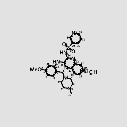 COc1ccc(CN2CCN(C)CC2)c(Nc2nc3ccccc3nc2NS(=O)(=O)c2cccnc2)c1.Cl.Cl